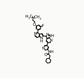 CN(C)CCOc1cc(F)cc(-c2nccc3[nH]c(-c4n[nH]c5ncc(-c6cncc(NC(=O)CC7CCCCC7)c6)cc45)cc23)c1